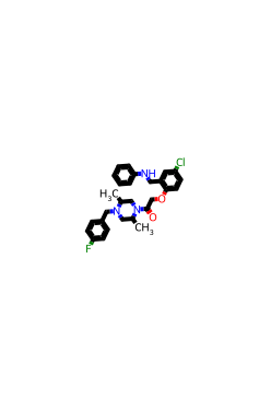 CC1CN(C(=O)COc2ccc(Cl)cc2CNc2ccccc2)C(C)CN1Cc1ccc(F)cc1